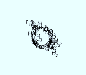 C=COC(=O)N1CCCOc2ccc(cc2C)CNc2nc(nc(OCC(F)(F)F)n2)Nc2ccc(cc2)C(=O)NCC(C)(C)C1